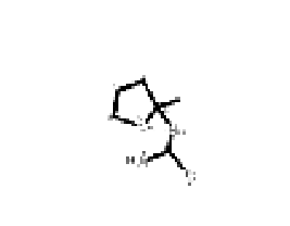 CCC(N)NC1(C)CCCN1